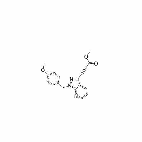 COC(=O)C#Cc1nn(Cc2ccc(OC)cc2)c2ncccc12